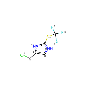 FC(F)(F)Sc1nc(CCl)c[nH]1